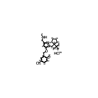 CNCc1cc(OCc2cc(Cl)ccc2F)n(CC2(C(F)(F)F)CCCC2)n1.Cl